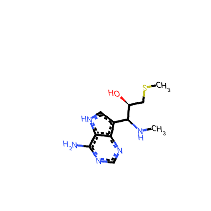 CNC(c1c[nH]c2c(N)ncnc12)[C@@H](O)CSC